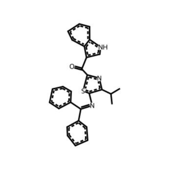 CC(C)c1nc(C(=O)c2c[nH]c3ccccc23)sc1N=C(c1ccccc1)c1ccccc1